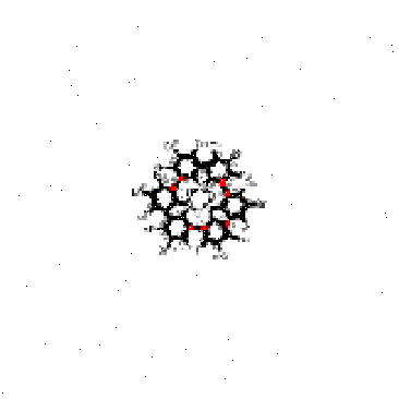 Fc1c(F)c([Si]2(c3c(F)c(F)c(Br)c(F)c3F)O[Si](c3c(F)c(F)c(Br)c(F)c3F)(c3c(F)c(F)c(Br)c(F)c3F)O[Si](c3c(F)c(F)c(Br)c(F)c3F)(c3c(F)c(F)c(Br)c(F)c3F)O2)c(F)c(F)c1Br